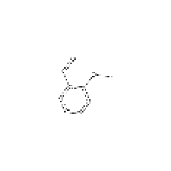 [CH2]Oc1ccccc1C=O